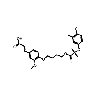 COc1cc(/C=C/C(=O)O)ccc1OCCCCOC(=O)C(C)(C)Oc1ccc(Cl)c(C)c1